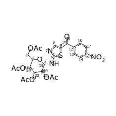 CC(=O)OCC1O[C@H](Nc2ncc(C(=O)c3ccc([N+](=O)[O-])cc3)s2)[C@H](OC(C)=O)C(OC(C)=O)[C@@H]1OC(C)=O